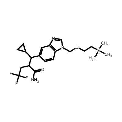 C[Si](C)(C)CCOCn1cnc2cc(C(C3CC3)C(CC(F)(F)F)C(N)=O)ccc21